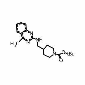 Cc1nc(NCC2CCN(C(=O)OC(C)(C)C)CC2)nc2ccccc12